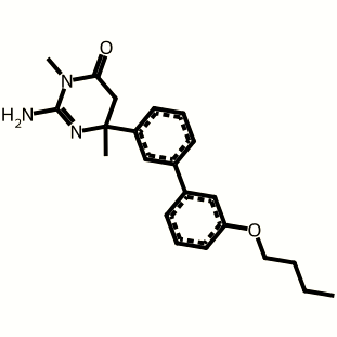 CCCCOc1cccc(-c2cccc(C3(C)CC(=O)N(C)C(N)=N3)c2)c1